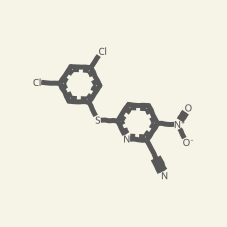 N#Cc1nc(Sc2cc(Cl)cc(Cl)c2)ccc1[N+](=O)[O-]